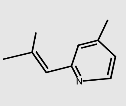 CC(C)=Cc1cc(C)ccn1